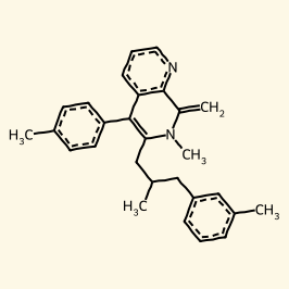 C=C1c2ncccc2C(c2ccc(C)cc2)=C(CC(C)Cc2cccc(C)c2)N1C